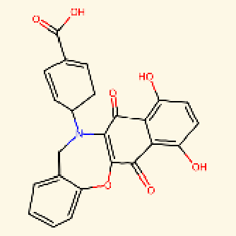 O=C(O)C1=CCC(N2Cc3ccccc3OC3=C2C(=O)c2c(O)ccc(O)c2C3=O)C=C1